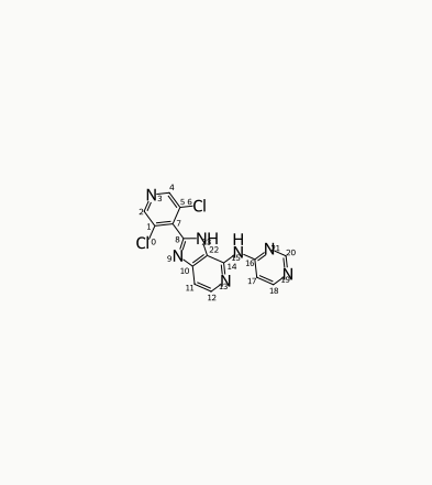 Clc1cncc(Cl)c1-c1nc2ccnc(Nc3ccncn3)c2[nH]1